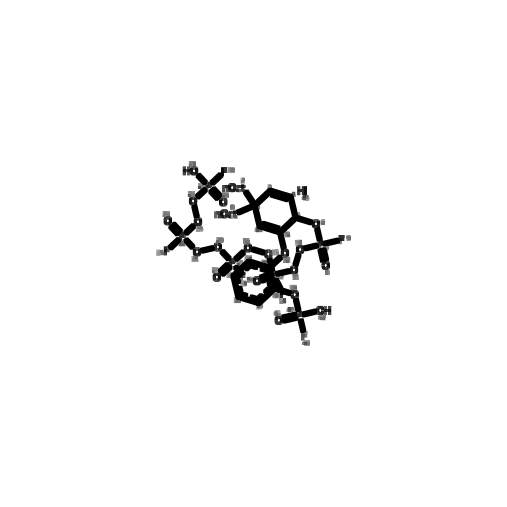 CCCCCCCCC1(CCCCCCCC)C=CC(OP(=O)(F)OOP(=O)(F)OOP(=O)(F)OOP(=O)(F)OOP(=O)(O)F)C(Oc2ccccc2OP(=O)(O)F)=C1.I